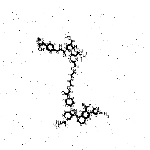 CNC(=O)N1CCc2c(c(N3CCCc4cc(-c5cnn(C)c5)c(C(F)F)cc43)nn2C2CCN(C(=O)COCCOCCOCC(=O)N[C@H](C(=O)N3CC(CO)C[C@H]3C(=O)NCc3ccc(-c4scnc4C)cc3)C(C)(C)C)CC2)C1